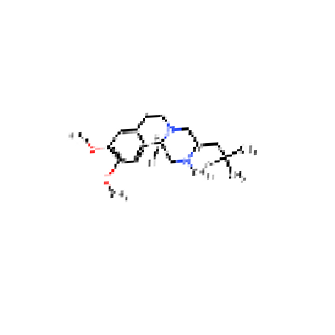 COc1cc2c(cc1OC)[C@H]1CN(C)[C@H](CC(C)(C)C)CN1CC2